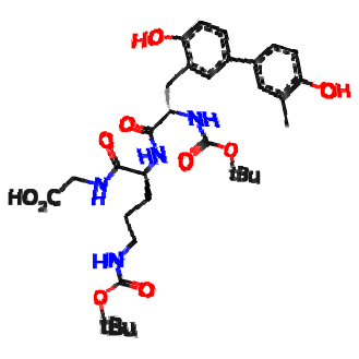 Cc1cc(-c2ccc(O)c(C[C@H](NC(=O)OC(C)(C)C)C(=O)N[C@@H](CCCNC(=O)OC(C)(C)C)C(=O)NCC(=O)O)c2)ccc1O